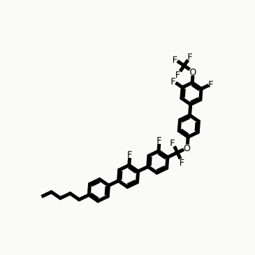 CCCCCc1ccc(-c2ccc(-c3ccc(C(F)(F)Oc4ccc(-c5cc(F)c(OC(F)(F)F)c(F)c5)cc4)c(F)c3)c(F)c2)cc1